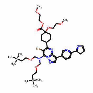 COCCOC(=O)C1(OCCOC)CCC(c2nc3c(-c4ccc(C5=NC=CC5)nc4)cnn3c(N(COCC[Si](C)(C)C)COCC[Si](C)(C)C)c2Br)CC1